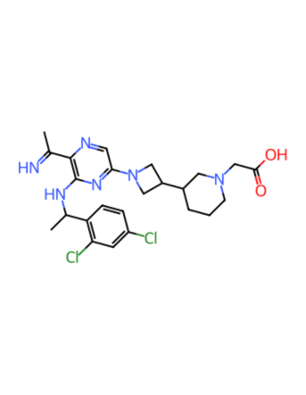 CC(=N)c1ncc(N2CC(C3CCCN(CC(=O)O)C3)C2)nc1NC(C)c1ccc(Cl)cc1Cl